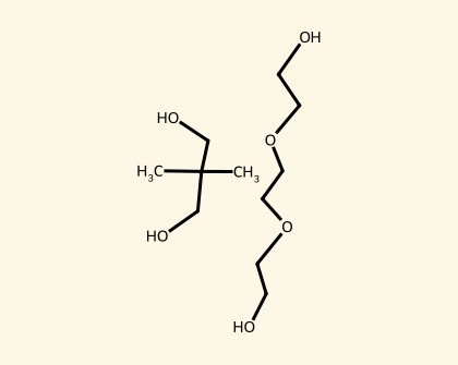 CC(C)(CO)CO.OCCOCCOCCO